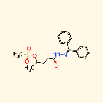 CC(CCC(=O)NN=C(c1ccccc1)c1ccccc1)OS(C)(=O)=O